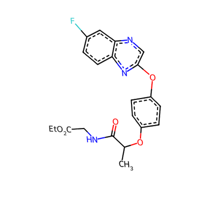 CCOC(=O)CNC(=O)C(C)Oc1ccc(Oc2cnc3cc(F)ccc3n2)cc1